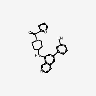 N#Cc1cccc(-c2cc(NC3CCN(C(=O)c4ccco4)CC3)c3cnccc3c2)c1